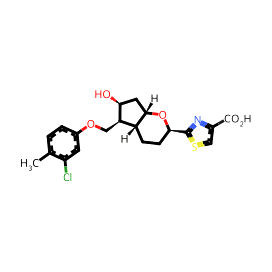 Cc1ccc(OC[C@@H]2[C@H]3CC[C@H](c4nc(C(=O)O)cs4)O[C@H]3C[C@@H]2O)cc1Cl